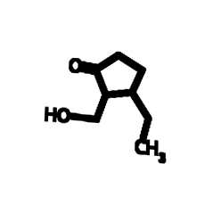 CCC1CCC(=O)C1CO